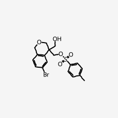 Cc1ccc(S(=O)(=O)OCC2(CO)COCc3ccc(Br)cc32)cc1